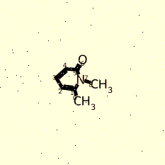 Cc1cccc(=O)n1C